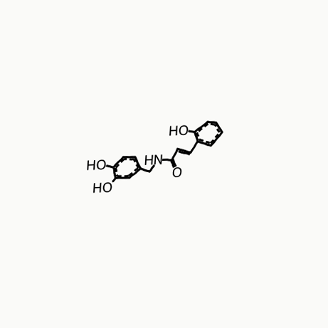 O=C(/C=C/c1ccccc1O)NCc1ccc(O)c(O)c1